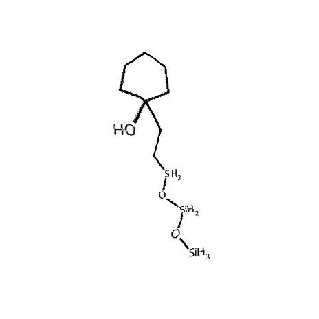 OC1(CC[SiH2]O[SiH2]O[SiH3])CCCCC1